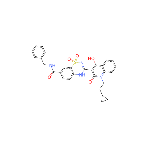 O=C(NCc1ccccc1)c1ccc2c(c1)S(=O)(=O)N=C(c1c(O)c3ccccc3n(CCC3CC3)c1=O)N2